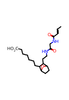 C/C=C/C(=O)NCC(=O)NCCC1C2CCC(O2)C1CCCCCCC(=O)O